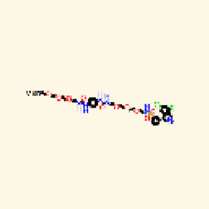 CNCCOCCOCCOCCNC(=O)Nc1ccc(NC(=O)NCCOCCOCCOCCNS(=O)(=O)c2cccc([C@@H]3CN(C)Cc4c(Cl)cc(Cl)cc43)c2)cc1